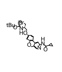 CC(C)C[C@@H](COc1ccc2c(c1)OCc1cnc(NC(=O)C3CC3)cc1-2)NC(=O)OC(C)(C)C